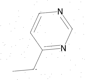 C[CH]c1ccncn1